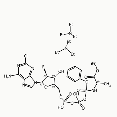 CC(C)OC(=O)[C@H](C)NP(=O)(Oc1ccccc1)OP(=O)(O)OP(=O)(O)OC[C@H]1O[C@@H](n2cnc3c(N)nc(Cl)nc32)[C@@H](F)[C@@H]1O.CCN(CC)CC.CCN(CC)CC